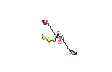 CC1=C2C(=O)N(CCCCCCCC[Si](C)(C)O[Si](C)(C)C)C(c3ccc(-c4ccc(-c5ccc(C)s5)s4)s3)=C2C(=O)N1CCCCCCCC[Si](C)(C)O[Si](C)(C)C